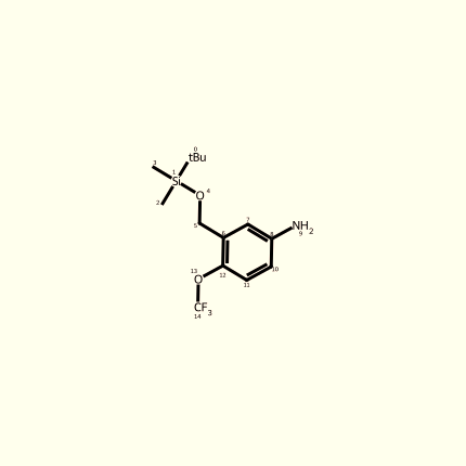 CC(C)(C)[Si](C)(C)OCc1cc(N)ccc1OC(F)(F)F